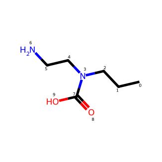 CCCN(CCN)C(=O)O